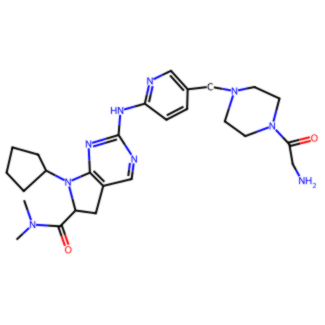 CN(C)C(=O)C1Cc2cnc(Nc3ccc(CN4CCN(C(=O)CN)CC4)cn3)nc2N1C1CCCC1